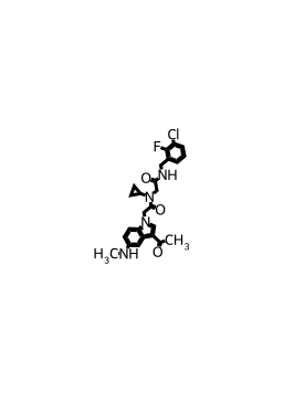 CNc1ccc2c(c1)c(C(C)=O)cn2CC(=O)N(CC(=O)NCc1cccc(Cl)c1F)C1CC1